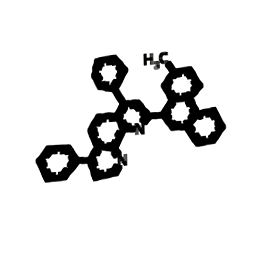 Cc1ccc2c(c1)c(-c1cc(-c3ccccc3)c3ccc4c(-c5ccccc5)ccnc4c3n1)cc1ccccc12